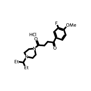 CCC(CC)N1CCN(C(=O)CCC(=O)c2ccc(OC)c(F)c2)CC1.Cl